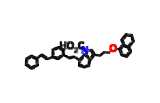 O=C(O)n1cc(CCCOc2cccc3ccccc23)c2cccc(C=Cc3cccc(C=Cc4ccccc4)c3)c21